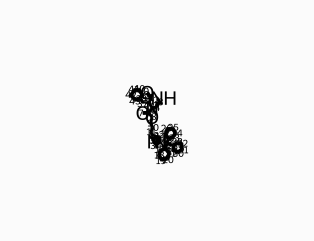 O=C1NC=CN(C(=O)OCCCc2cn(C(c3ccccc3)(c3ccccc3)c3ccccc3)cn2)[C@H]1Cc1ccccc1